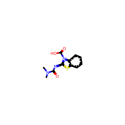 CN(C)C(=O)N=c1sc2ccccc2n1C(=O)O